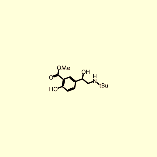 COC(=O)c1cc(C(O)CNC(C)(C)C)ccc1O